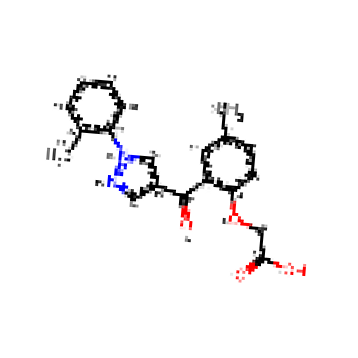 Bc1ccc(OCC(=O)O)c(C(=O)c2cnn(-c3ccccc3B)c2)c1